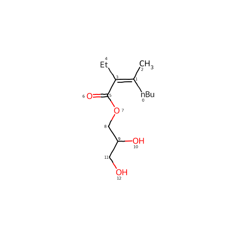 CCCCC(C)=C(CC)C(=O)OCC(O)CO